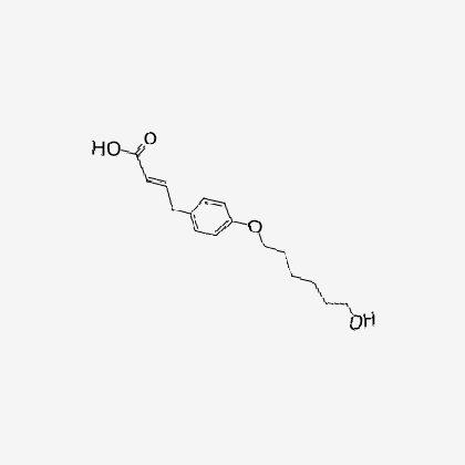 O=C(O)C=CCc1ccc(OCCCCCCO)cc1